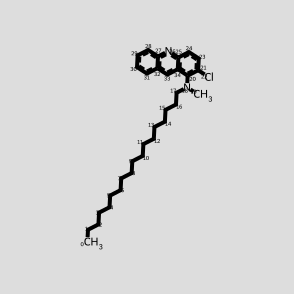 CCCCCCCCCCCCCCCCCCN(C)c1c(Cl)ccc2nc3ccccc3cc12